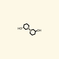 OC1CCCN(N2CCC[C@@H](O)C2)C1